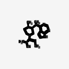 CN=C(N(C)C#N)N1CC[C@@H](C)[C@@H](N(C)c2ncnc3[nH]ccc23)C1